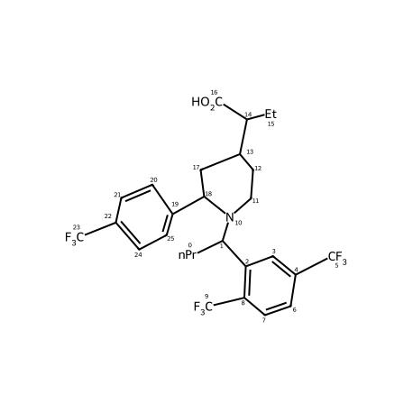 CCCC(c1cc(C(F)(F)F)ccc1C(F)(F)F)N1CCC(C(CC)C(=O)O)CC1c1ccc(C(F)(F)F)cc1